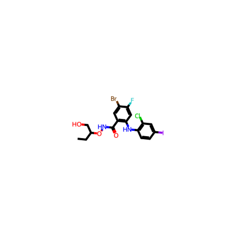 CCC(CO)ONC(=O)c1cc(Br)c(F)cc1Nc1ccc(I)cc1Cl